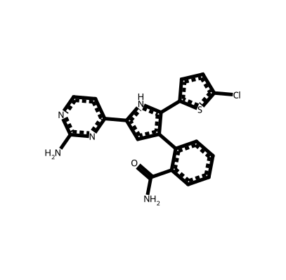 NC(=O)c1ccccc1-c1cc(-c2ccnc(N)n2)[nH]c1-c1ccc(Cl)s1